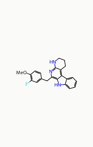 COc1ccc(Cc2nc3c(c4c2[nH]c2ccccc24)CCCN3)cc1F